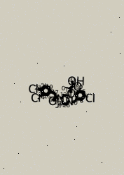 C[C@H](Oc1ccc(Cl)cc1CN1CCN(C(=O)Cc2ccc(Cl)c(Cl)c2)[C@@H](C)C1)C(=O)O